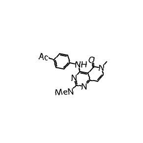 CNc1nc(Nc2ccc(C(C)=O)cc2)c2c(=O)n(C)ccc2n1